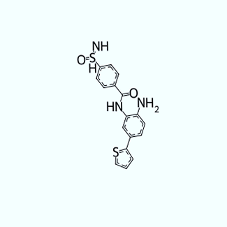 N=[SH](=O)c1ccc(C(=O)Nc2cc(-c3cccs3)ccc2N)cc1